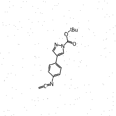 C=C=Nc1ccc(-c2cnn(C(=O)OC(C)(C)C)c2)cc1